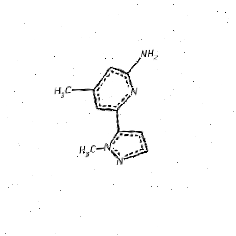 Cc1cc(N)nc(-c2ccnn2C)c1